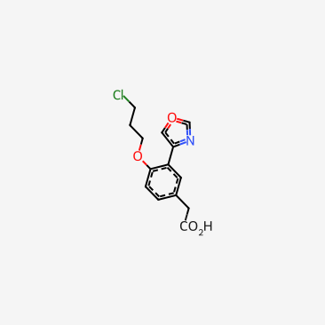 O=C(O)Cc1ccc(OCCCCl)c(-c2cocn2)c1